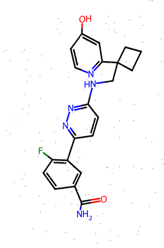 NC(=O)c1ccc(F)c(-c2ccc(NCC3(c4cc(O)ccn4)CCC3)nn2)c1